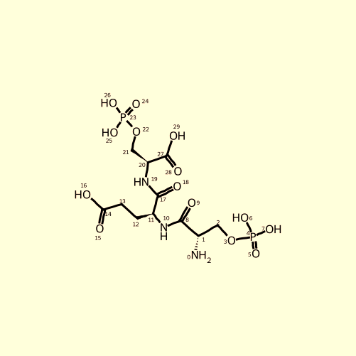 N[C@@H](COP(=O)(O)O)C(=O)N[C@@H](CCC(=O)O)C(=O)N[C@@H](COP(=O)(O)O)C(=O)O